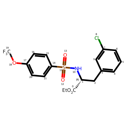 CCOC(=O)[C@@H](Cc1cccc(Cl)c1)NS(=O)(=O)c1ccc(OC(F)(F)F)cc1